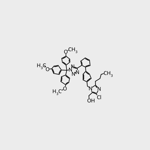 CCCCc1nc(Cl)c(CO)n1Cc1ccc(-c2ccccc2-c2nnn(C(c3ccc(OC)cc3)(c3ccc(OC)cc3)c3ccc(OC)cc3)n2)cc1